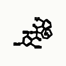 COc1cc(OC)c(C(=O)P(=O)(C(=O)c2c(C(F)(F)F)cccc2C(F)(F)F)C2CCCCC2)c(OC)c1